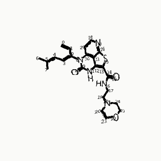 C=C/C(=C\C=C(C)C)N1C(=O)Nc2c(C(=O)NCCN3CCOCC3)sc3nccc1c23